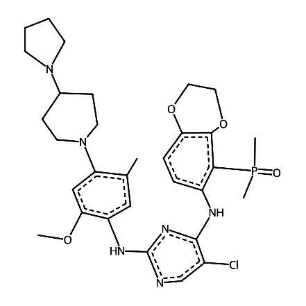 COc1cc(N2CCC(N3CCCC3)CC2)c(C)cc1Nc1ncc(Cl)c(Nc2ccc3c(c2P(C)(C)=O)OCCO3)n1